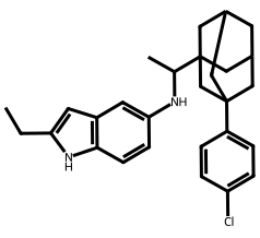 CCc1cc2cc(NC(C)C34CC5CC(CC(c6ccc(Cl)cc6)(C5)C3)C4)ccc2[nH]1